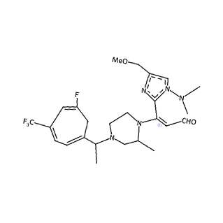 COCc1cn(N(C)C)c(/C(=C\C=O)N2CCN(C(C)C3=CC=C(C(F)(F)F)C=C(F)C3)CC2C)n1